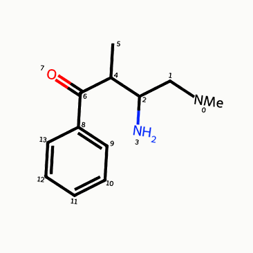 CNCC(N)C(C)C(=O)c1ccccc1